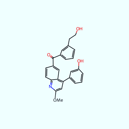 COc1cc(-c2cccc(O)c2)c2cc(C(=O)c3cccc(CCO)c3)ccc2n1